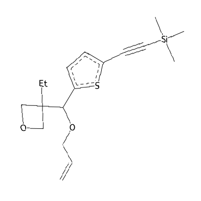 C=CCOC(c1ccc(C#C[Si](C)(C)C)s1)C1(CC)COC1